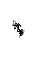 CCNC(=O)C(C#N)=c1sc(=CNc2cccc(NC(=O)CN(C)c3ccc(F)cc3)c2)c(=O)n1CC